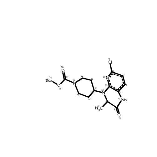 CC1C(=O)Nc2ccc(Cl)nc2N1C1CCN(C(=O)OC(C)(C)C)CC1